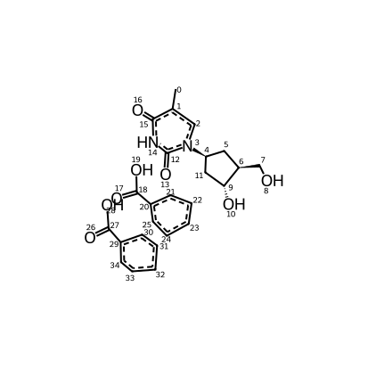 Cc1cn([C@H]2C[C@@H](CO)[C@H](O)C2)c(=O)[nH]c1=O.O=C(O)c1ccccc1.O=C(O)c1ccccc1